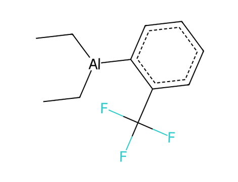 C[CH2][Al]([CH2]C)[c]1ccccc1C(F)(F)F